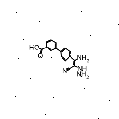 N#C/C(NN)=C(/N)c1ccc(-c2cccc(C(=O)O)c2)cc1